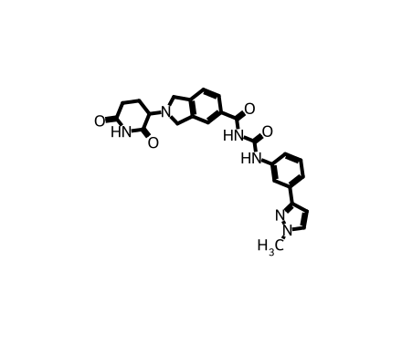 Cn1ccc(-c2cccc(NC(=O)NC(=O)c3ccc4c(c3)CN(C3CCC(=O)NC3=O)C4)c2)n1